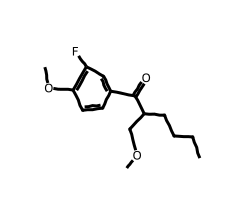 CCCCC(COC)C(=O)c1ccc(OC)c(F)c1